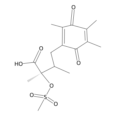 CC1=C(C)C(=O)C(CC(C)[C@@](C)(OS(C)(=O)=O)C(=O)O)=C(C)C1=O